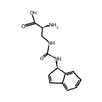 N[C@@H](CNC(=O)N[C@@H]1C=Cc2ccccc21)C(=O)O